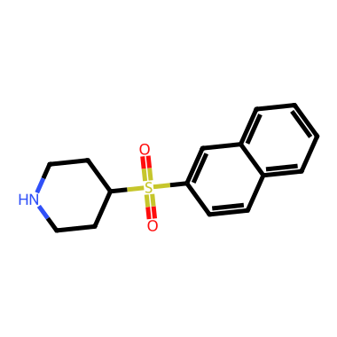 O=S(=O)(c1ccc2ccccc2c1)C1CCNCC1